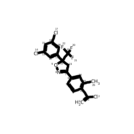 C=C(Cl)c1ccc(C2=NOC(c3cc(Cl)cc(Cl)c3)(C(F)(F)F)C2)cc1C